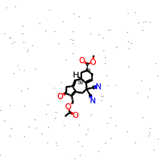 COC(=O)[C@H]1CC=C2[C@H](C=C3CC(=O)C(COC(C)=O)=C3CC2(C#N)C#N)C1